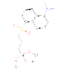 CCO[Si](CCCS(=O)(=O)c1cccc2c(N(C)C)cccc12)(OCC)OCC